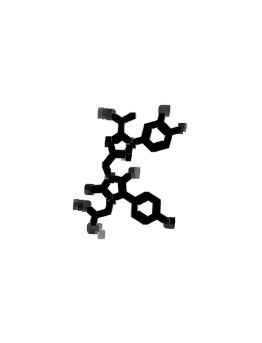 C[C@H](O)c1nc(Cn2c(Cl)c(-c3ccc(Cl)cc3)n(CC(O)C(F)(F)F)c2=O)nn1-c1ccc(F)c(Cl)c1